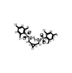 Cc1cc(C)c(S(=O)(=O)NCC2CC2CNS(=O)(=O)c2c(C)cc(C)cc2C)c(C)c1